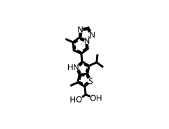 Cc1c(C(O)O)sc2c(C(C)C)c(-c3cc(C)c4ncnn4c3)[nH]c12